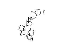 Cc1cccc(-n2nc(NCc3cc(F)ccc3F)cc2-c2ccc3nccn3c2)n1